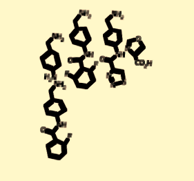 NCc1ccc(N)cc1.NCc1ccc(NC(=O)c2c(F)cccc2F)cc1.NCc1ccc(NC(=O)c2ccccc2F)cc1.NCc1ccc(NC(=O)c2csnn2)cc1.O=C(O)c1cocn1